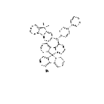 CC1(C)c2ccccc2-c2ccc(N(c3cccc4c3-c3ccccc3C43c4ccccc4-c4c(Br)cccc43)C3C=CC(c4ccccc4)=CC3)cc21